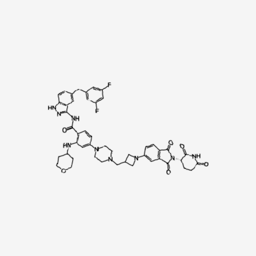 O=C1CC[C@H](N2C(=O)c3ccc(N4CC(CN5CCN(c6ccc(C(=O)Nc7n[nH]c8ccc(Cc9cc(F)cc(F)c9)cc78)c(NC7CCOCC7)c6)CC5)C4)cc3C2=O)C(=O)N1